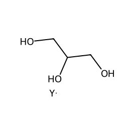 OCC(O)CO.[Y]